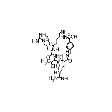 CC(=N)c1ccc(CNC(=O)[C@H](CCCNC(=N)N)NC(=O)C(NC(=O)[C@H](CCCNC(=N)N)NC(=O)CCCCN)C(C)C)cc1